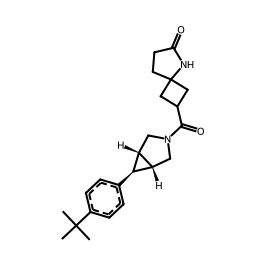 CC(C)(C)c1ccc([C@H]2[C@@H]3CN(C(=O)C4CC5(CCC(=O)N5)C4)C[C@@H]32)cc1